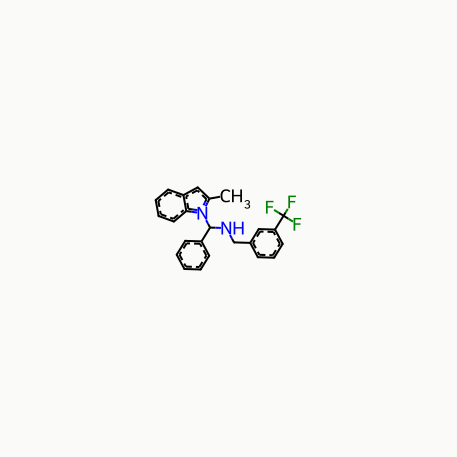 Cc1cc2ccccc2n1C(NCc1cccc(C(F)(F)F)c1)c1ccccc1